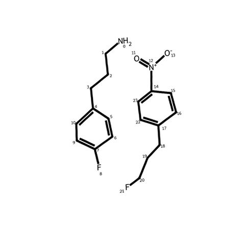 NCCCc1ccc(F)cc1.O=[N+]([O-])c1ccc(CCCF)cc1